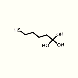 OC(O)(O)CCCCS